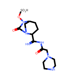 N=C(NC(=O)CN1CCNCC1)C1CCC2CN1C(=O)N2OS(=O)(=O)O